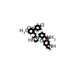 CC1(C)CCC(CC2CNCCN2c2cccc(C(N)=O)c2Oc2ccc3[nH]ccc3c2)=C(c2ccc(Cl)cc2)C1